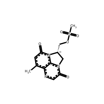 Cc1cc(=O)n2c3c1ncc(=O)n3C[C@H]2COS(C)(=O)=O